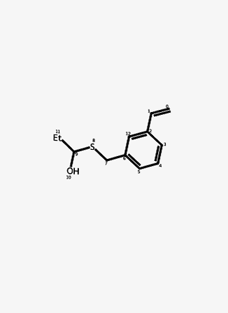 C=Cc1cccc(CSC(O)CC)c1